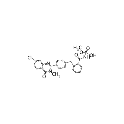 COP(=O)(O)NC(=O)c1ccccc1Cc1ccc(-c2nc3cc(Cl)ccc3c(=O)n2C)cc1